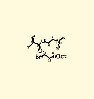 C=C(C)C(=O)OCCN(C)C.CCCCCCCCCCBr